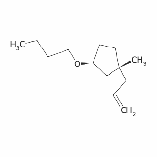 C=CC[C@@]1(C)CC[C@H](OCCCC)C1